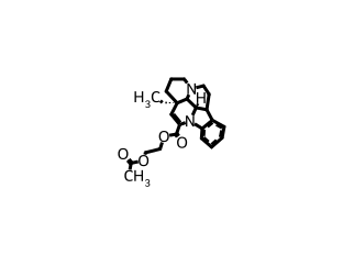 CC[C@]12C=C(C(=O)OCCOC(C)=O)N3c4ccccc4C4CCN(CCC1)C2[C@H]43